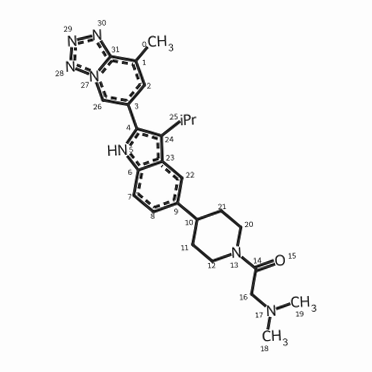 Cc1cc(-c2[nH]c3ccc(C4CCN(C(=O)CN(C)C)CC4)cc3c2C(C)C)cn2nnnc12